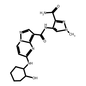 Cn1cc(NC(=O)c2cnn3ccc(NC4CCCCC4O)nc23)c(C(N)=O)n1